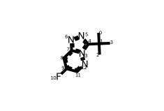 CC(C)(C)c1nnc2cc(F)cnn12